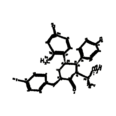 CCC[C@H](C(=O)O)N1C(=O)[C@@H](Cc2ccc(F)cc2)O[C@H](c2ccc(Cl)cc2C)[C@@H]1c1ccc(Cl)cc1